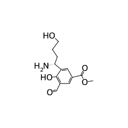 COC(=O)c1cc(C=O)c(O)c([C@H](N)CCCO)c1